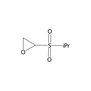 CC(C)S(=O)(=O)C1CO1